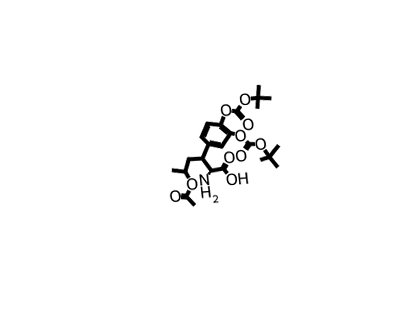 CC(=O)OC(C)CC(c1ccc(OC(=O)OC(C)(C)C)c(OC(=O)OC(C)(C)C)c1)[C@H](N)C(=O)O